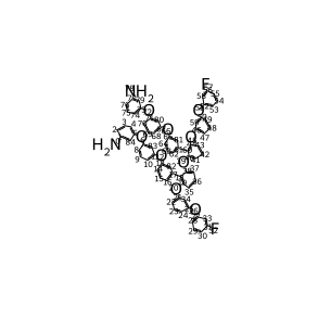 Nc1cccc(Oc2cccc(Oc3cccc(-c4c(Oc5cccc(Oc6cccc(F)c6)c5)cccc4Oc4cccc(Oc5cccc(Oc6cccc(F)c6)c5)c4-c4cccc(Oc5cccc(Oc6cccc(N)c6)c5)c4)c3)c2)c1